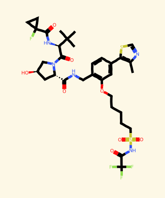 Cc1ncsc1-c1ccc(CNC(=O)[C@@H]2C[C@@H](O)CN2C(=O)[C@@H](NC(=O)C2(F)CC2)C(C)(C)C)c(OCCCCCS(=O)(=O)NC(=O)C(F)(F)F)c1